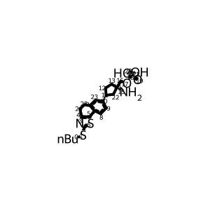 CCCCSc1nc2c(s1)-c1ccc([C@H]3CC[C@](N)(COP(=O)(O)O)C3)cc1CC2